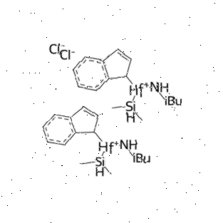 CCC(C)[NH][Hf+]([CH]1C=Cc2ccccc21)[SiH](C)C.CCC(C)[NH][Hf+]([CH]1C=Cc2ccccc21)[SiH](C)C.[Cl-].[Cl-]